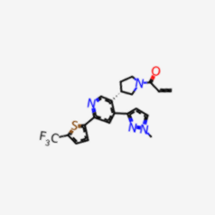 C=CC(=O)N1CC[C@@H](c2cnc(-c3ccc(C(F)(F)F)s3)cc2-c2ccn(C)n2)C1